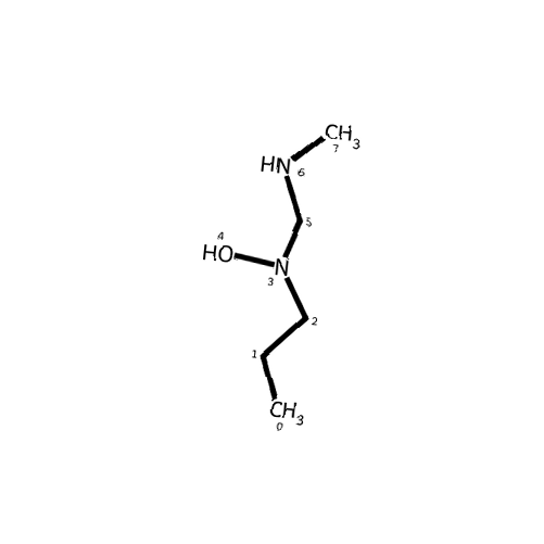 CCCN(O)CNC